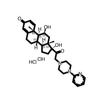 C[C@]12C=CC(=O)C=C1CC[C@@H]1[C@@H]2[C@@H](O)C[C@@]2(C)[C@H]1CC[C@]2(O)C(=O)CN1CCN(c2ccccn2)CC1.Cl.Cl